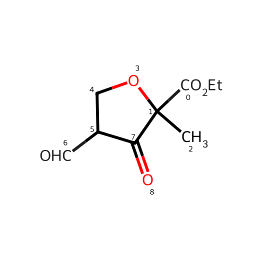 CCOC(=O)C1(C)OCC(C=O)C1=O